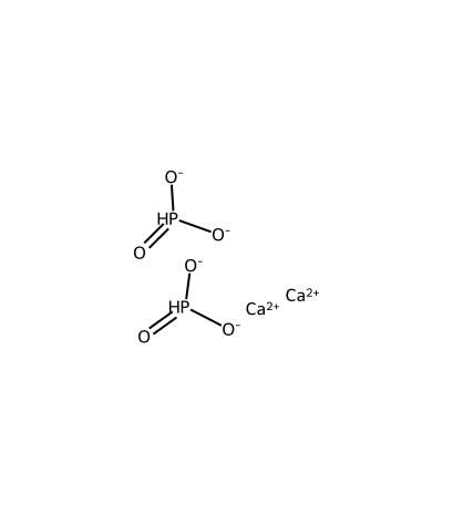 O=[PH]([O-])[O-].O=[PH]([O-])[O-].[Ca+2].[Ca+2]